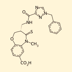 CN1C(=S)[C@@H](CNC(=O)c2ncn(Cc3ccccc3)n2)COc2ccc(C(=O)O)cc21